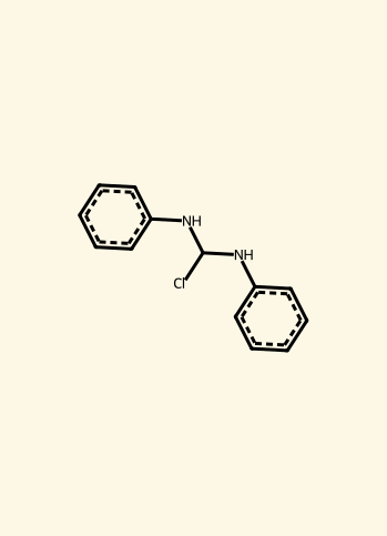 ClC(Nc1ccccc1)Nc1ccccc1